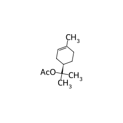 CC(=O)OC(C)(C)[C@H]1CC=C(C)CC1